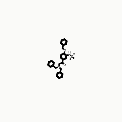 CS(=O)(=O)Nc1cc(C(=O)CN(Cc2ccccc2)Cc2ccccc2)ccc1OCc1ccccc1